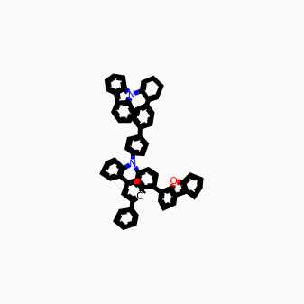 C1=C(c2ccc(-c3ccc(N(c4ccc(-c5cccc6c5oc5ccccc56)cc4)c4ccccc4-c4cccc(-c5ccccc5)c4)cc3)cc2)C(n2c3ccccc3c3ccccc32)=CCC1